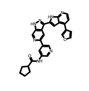 O=C(Nc1cncc(-c2cc3c(-c4cc5c(-c6ccoc6)ccnc5[nH]4)n[nH]c3cn2)c1)C1CCCC1